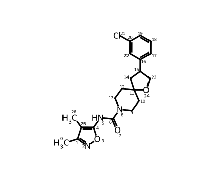 Cc1noc(NC(=O)N2CCC3(CC2)CC(c2cccc(Cl)c2)CO3)c1C